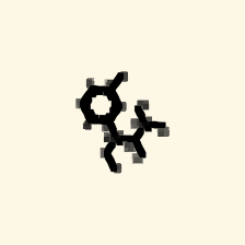 CCN(c1cccc(C)c1)C(C)N(C)C